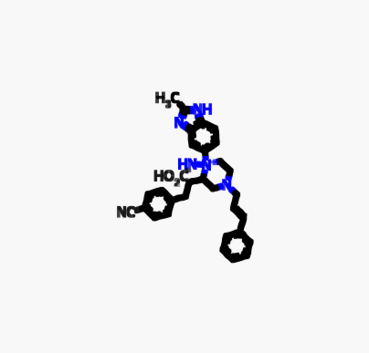 Cc1nc2cc([N+]3(NC(=O)O)CCN(CC=Cc4ccccc4)CC3CCc3ccc(C#N)cc3)ccc2[nH]1